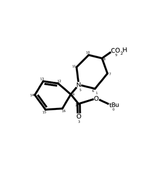 CC(C)(C)OC(=O)C1(N2CCC(C(=O)O)CC2)C=CC=CC1